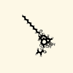 CCCCCCCCCCCC(=O)O[C@]1(C)C[C@@H](C)C23C=C(C)C(O)C2(O)C(O)C2(COC(=O)C(C)C(C)C)OC2C(C3=O)C1(C)C